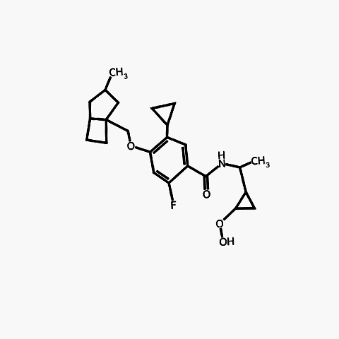 CC1CC2CCC2(COc2cc(F)c(C(=O)NC(C)C3CC3OO)cc2C2CC2)C1